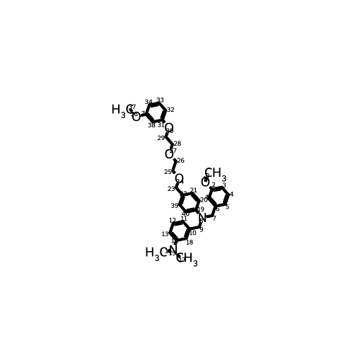 COc1cccc(CN(Cc2cccc(N(C)C)c2)c2ccc(COCCOCCOc3cccc(OC)c3)cc2)c1